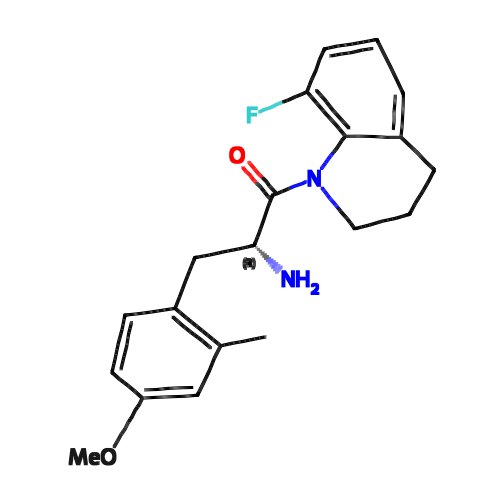 COc1ccc(C[C@@H](N)C(=O)N2CCCc3cccc(F)c32)c(C)c1